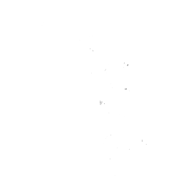 CC12C=C3CC(C1)CC(CC(=O)Nc1ncnc4c1CCN(S(=O)(=O)Cc1ccccc1)C4)(C3)C2